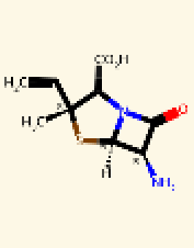 C=C[C@@]1(C)S[C@@H]2[C@H](N)C(=O)N2C1C(=O)O